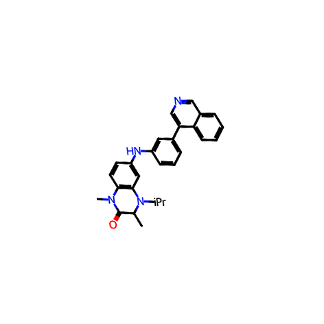 CC(C)N1c2cc(Nc3cccc(-c4cncc5ccccc45)c3)ccc2N(C)C(=O)C1C